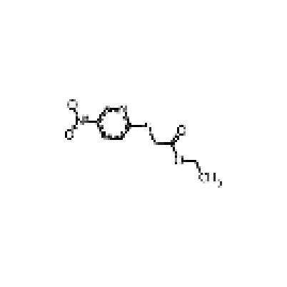 CCOC(=O)CSc1ccc([N+](=O)[O-])cn1